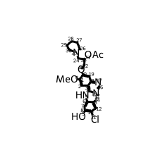 COc1cc2c(Nc3cc(O)c(Cl)cc3F)ncnc2cc1OCC(CN1CCCCC1)OC(C)=O